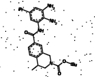 CC(C)c1cc(N)c(N)c(NC(=O)c2ccc3c(c2)CN(C(=O)OC(C)(C)C)CC3C)c1